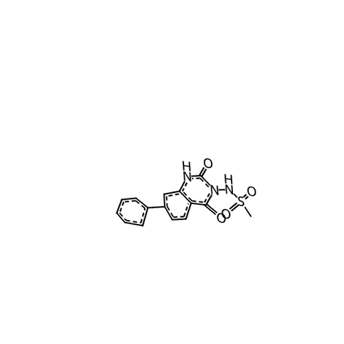 CS(=O)(=O)Nn1c(=O)[nH]c2cc(-c3ccccc3)ccc2c1=O